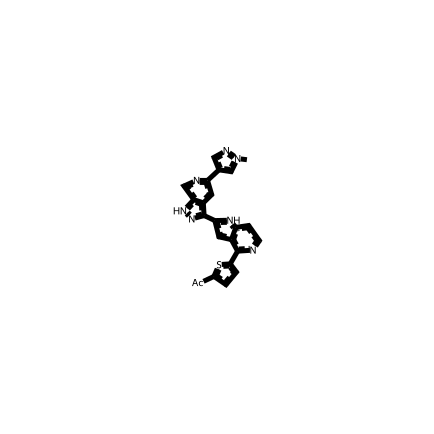 CC(=O)c1ccc(-c2nccc3[nH]c(-c4n[nH]c5cnc(-c6cnn(C)c6)cc45)cc23)s1